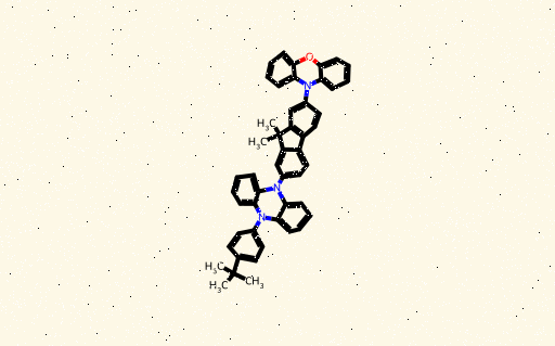 CC(C)(C)c1ccc(N2c3ccccc3N(c3ccc4c(c3)C(C)(C)c3cc(N5c6ccccc6Oc6ccccc65)ccc3-4)c3ccccc32)cc1